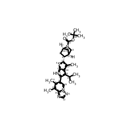 Cc1c(-c2[nH]c3sc([C@@H]4C[C@@H]5C[C@H]4CN5C(=O)OC(C)(C)C)c(C)c3c2C(C)C)cn2ncnc2c1C